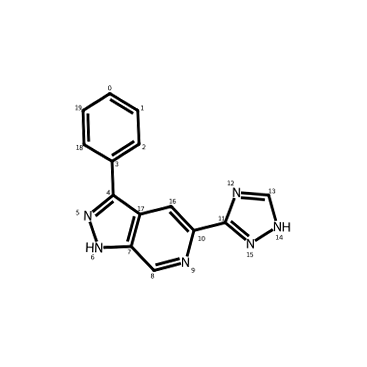 c1ccc(-c2n[nH]c3cnc(-c4nc[nH]n4)cc23)cc1